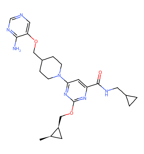 C[C@@H]1C[C@@H]1COc1nc(C(=O)NCC2CC2)cc(N2CCC(COc3cncnc3N)CC2)n1